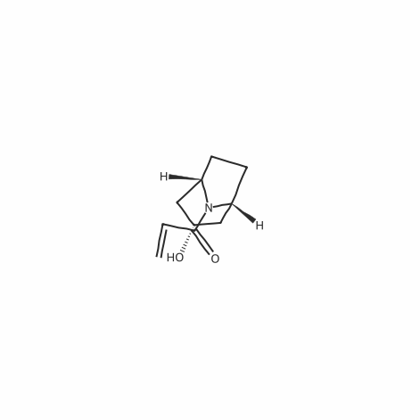 C=CC(=O)N1[C@@H]2CC[C@H]1C[C@@H](O)C2